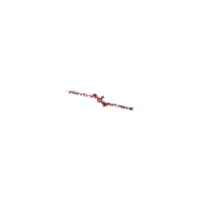 CN(C)c1ccc(C(C#N)(C2=CC=C(N(CCOCCOCCOCCOCCOCCOCCOCCOCCOCCO)Cc3ccccc3)CC2)C2C=CC(N(CCOCCOCCOCCOCCOCCOCCOCCOCCOCCN=O)Cc3ccccc3)=CC2)cc1